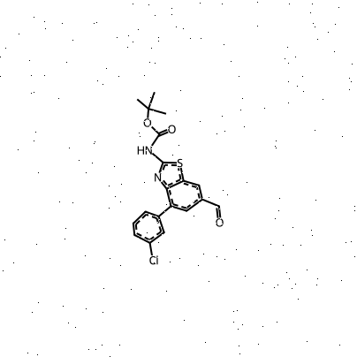 CC(C)(C)OC(=O)Nc1nc2c(-c3cccc(Cl)c3)cc(C=O)cc2s1